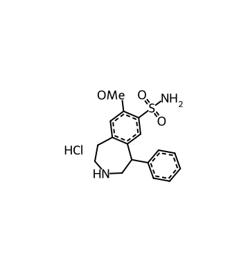 COc1cc2c(cc1S(N)(=O)=O)C(c1ccccc1)CNCC2.Cl